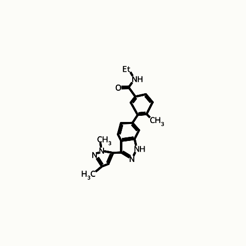 CCNC(=O)c1ccc(C)c(-c2ccc3c(-c4cc(C)nn4C)n[nH]c3c2)c1